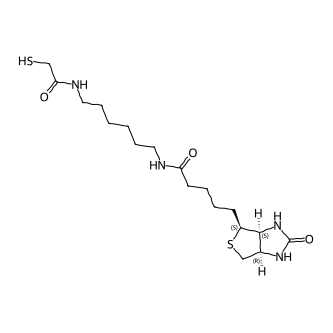 O=C(CS)NCCCCCCNC(=O)CCCC[C@@H]1SC[C@@H]2NC(=O)N[C@@H]21